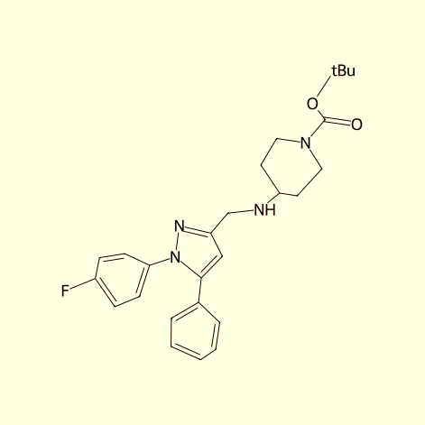 CC(C)(C)OC(=O)N1CCC(NCc2cc(-c3ccccc3)n(-c3ccc(F)cc3)n2)CC1